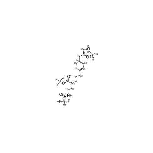 CC(C)(C)OC(=O)N(CCCc1ccc(CN(C=O)OC(C)(C)C)cc1)CCNC(=O)C(F)(F)F